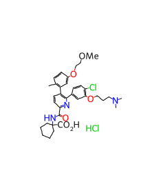 COCCOc1ccc(C)c(-c2ccc(C(=O)NC3(C(=O)O)CCCCC3)nc2-c2ccc(Cl)c(OCCCN(C)C)c2)c1.Cl